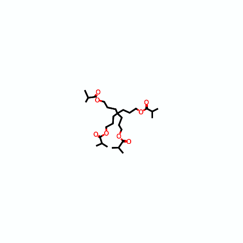 CC(C)C(=O)OCCCC(CCCOC(=O)C(C)C)(CCCOC(=O)C(C)C)CCCOC(=O)C(C)C